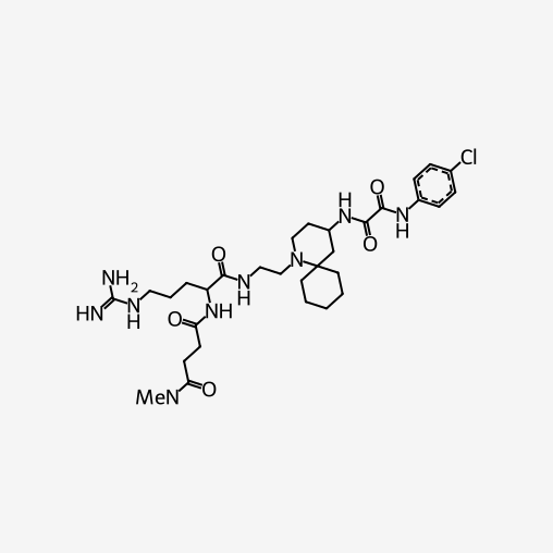 CNC(=O)CCC(=O)NC(CCCNC(=N)N)C(=O)NCCN1CCC(NC(=O)C(=O)Nc2ccc(Cl)cc2)CC12CCCCC2